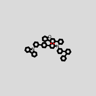 c1ccc(-c2ccccc2-c2cccc(N(c3ccc(-c4ccc(-c5cccc(-n6c7ccccc7c7ccccc76)c5)cc4)cc3)c3ccccc3-c3ccc4c(c3)oc3ccccc34)c2)cc1